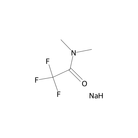 CN(C)C(=O)C(F)(F)F.[NaH]